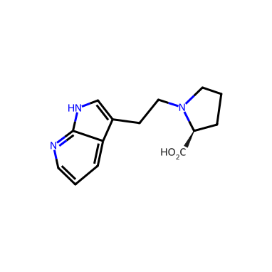 O=C(O)[C@@H]1CCCN1CCc1c[nH]c2ncccc12